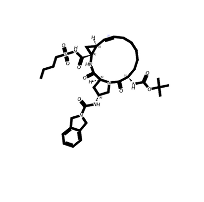 CCCCS(=O)(=O)NC(=O)[C@@]12C[C@H]1/C=C\CCCCC[C@H](NC(=O)OC(C)(C)C)C(=O)N1C[C@H](NC(=O)N3Cc4ccccc4C3)C[C@H]1C(=O)N2